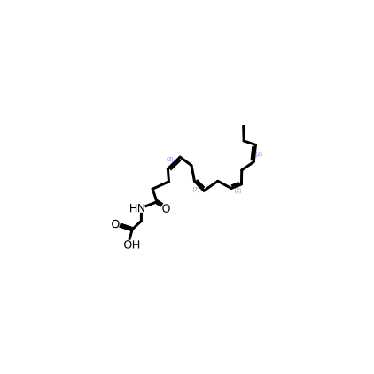 CC/C=C\C/C=C\C/C=C\C/C=C\CCC(=O)NCC(=O)O